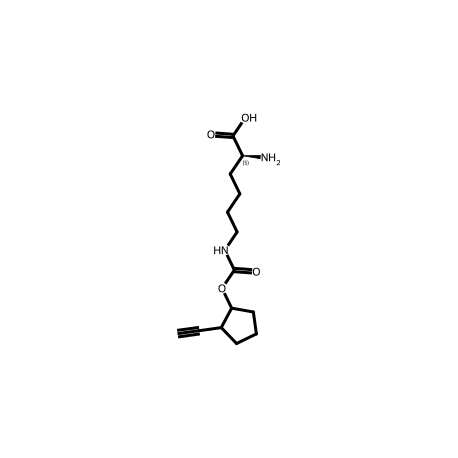 C#CC1CCCC1OC(=O)NCCCC[C@H](N)C(=O)O